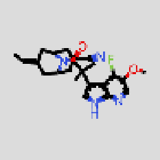 CC=C1CC2CC(C#N)CC(C1)N2C(=O)C(C)(C)c1c[nH]c2ncc(OC)c(F)c12